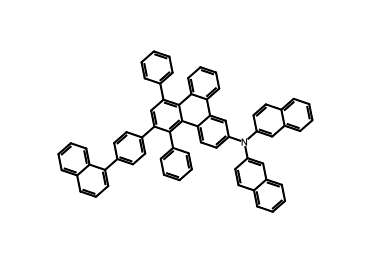 c1ccc(-c2cc(-c3ccc(-c4cccc5ccccc45)cc3)c(-c3ccccc3)c3c4ccc(N(c5ccc6ccccc6c5)c5ccc6ccccc6c5)cc4c4ccccc4c23)cc1